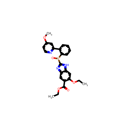 CCOC(=O)c1cc2nc([S+]([O-])c3ccccc3-c3cc(OC)ccn3)[nH]c2cc1OCC